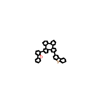 c1ccc2c(c1)-c1ccccc1-c1cc(-c3cccc4c3oc3ccccc34)ccc1-c1cc(-c3ccc4sc5ccccc5c4c3)ccc1-2